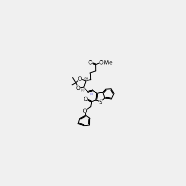 COC(=O)CCC[C@@H]1OC(C)(C)O[C@@H]1/C=C/c1c(C(=O)COc2ccccc2)sc2ccccc12